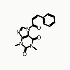 Cn1c(=O)c2c(ncn2C(=O)/C=C\c2ccccc2)n(C)c1=O